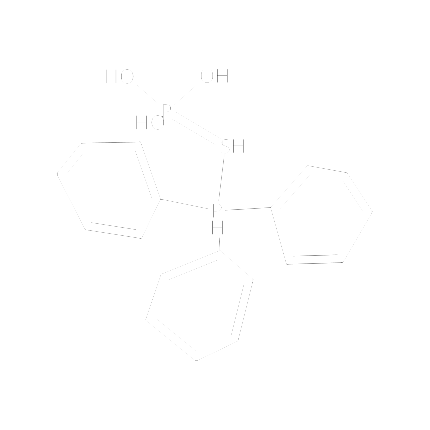 OP(O)(O)=[SH][PH](c1ccccc1)(c1ccccc1)c1ccccc1